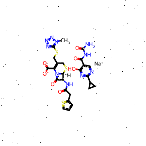 Cn1nnnc1SCC1=C(C(=O)[O-])N2C(=O)[C@H](NC(=O)Cc3cccs3)[C@@H]2SC1.NC(=O)NC(=O)c1cnc(C2CC2)nc1O.[Na+]